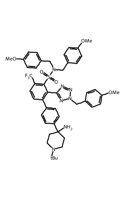 COc1ccc(CN(Cc2ccc(OC)cc2)S(=O)(=O)c2c(C(F)(F)F)ccc(-c3ccc(C4(N)CCN(C(C)(C)C)CC4)cc3)c2-c2nnn(Cc3ccc(OC)cc3)n2)cc1